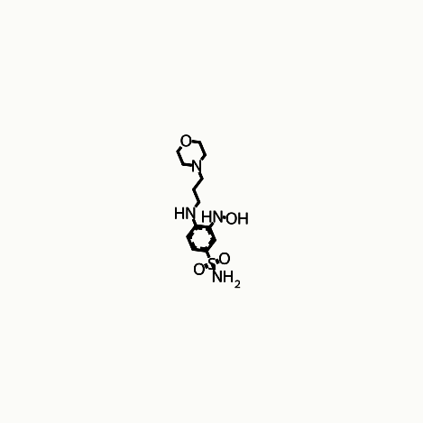 NS(=O)(=O)c1ccc(NCCCN2CCOCC2)c(NO)c1